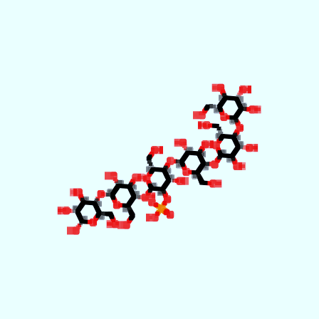 O=P(O)(O)O[C@H]1[C@@H](O[C@H]2[C@H](O)[C@@H](O)[C@@H](O[C@H]3[C@H](O)[C@@H](O)[C@@H](O)O[C@@H]3CO)O[C@@H]2CO)O[C@H](CO)[C@@H](O[C@H]2O[C@H](CO)[C@@H](O[C@H]3O[C@H](CO)[C@@H](O[C@H]4O[C@H](CO)[C@@H](O)[C@H](O)[C@H]4O)[C@H](O)[C@H]3O)[C@H](O)[C@H]2O)[C@@H]1O